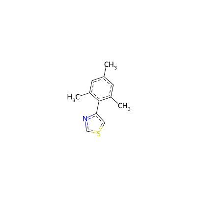 Cc1cc(C)c(-c2cscn2)c(C)c1